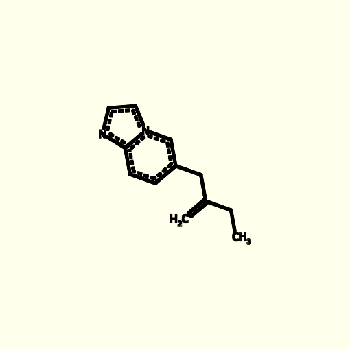 C=C(CC)Cc1ccc2nccn2c1